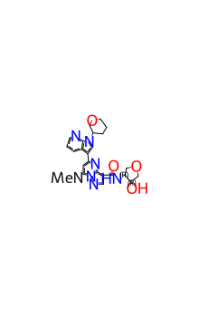 CNc1cc(-c2cn(C3CCCOC3)c3ncccc23)nc2c(C(=O)N[C@@H]3COC[C@@H]3O)cnn12